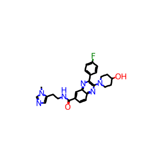 Cn1cncc1CCNC(=O)c1ccc2nc(N3CCC(O)CC3)c(-c3ccc(F)cc3)nc2c1